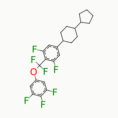 Fc1cc(OC(F)(F)c2c(F)cc(C3CCC(C4CCCC4)CC3)cc2F)cc(F)c1F